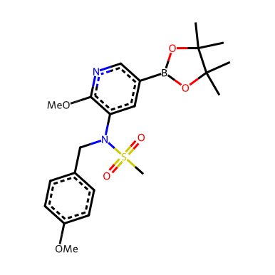 COc1ccc(CN(c2cc(B3OC(C)(C)C(C)(C)O3)cnc2OC)S(C)(=O)=O)cc1